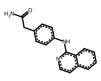 NC(=O)Cc1ccc(Nc2nccc3ccccc23)cc1